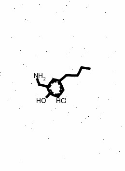 CCCCc1ccc(O)c(CN)c1.Cl